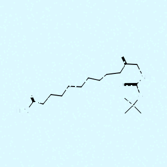 C[C@H](NC(=O)OC(C)(C)C)C(=O)CCCCCCCCCC(N)=O